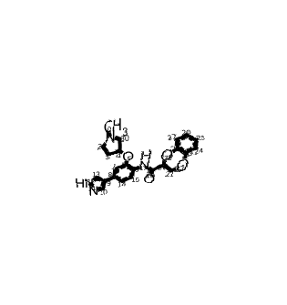 CN1CCC(Oc2cc(-c3cn[nH]c3)ccc2NC(=O)C2COc3ccccc3O2)C1